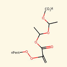 C=C(OOCCCCC)C(=O)OC(C)OC(C)OC(=O)O